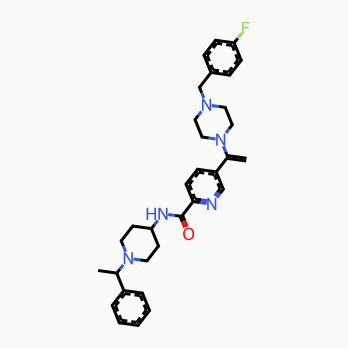 C=C(c1ccc(C(=O)NC2CCN(C(C)c3ccccc3)CC2)nc1)N1CCN(Cc2ccc(F)cc2)CC1